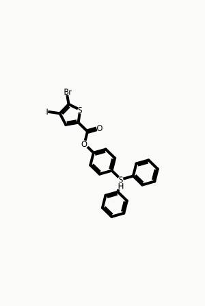 O=C(Oc1ccc([SH](c2ccccc2)c2ccccc2)cc1)c1cc(I)c(Br)s1